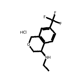 CCNC1COCc2cc(C(F)(F)F)ccc21.Cl